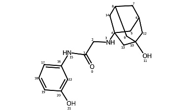 O=C(CNC12CC3CC(CC(O)(C3)C1)C2)Nc1cccc(O)c1